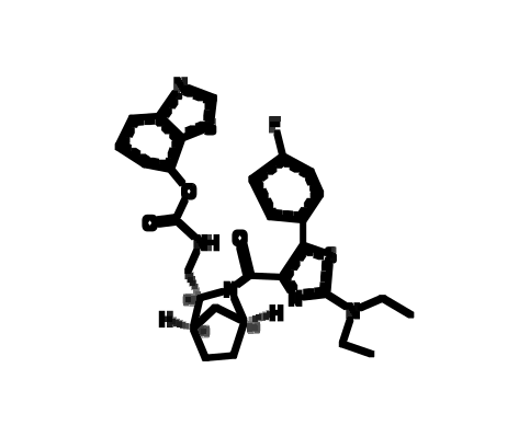 CCN(CC)c1nc(C(=O)N2[C@H]3CC[C@H](C3)[C@@H]2CNC(=O)Oc2cccc3ncsc23)c(-c2ccc(F)cc2)s1